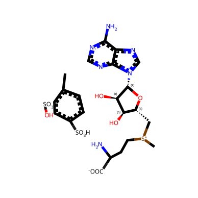 C[S+](CCC(N)C(=O)[O-])C[C@H]1O[C@@H](n2cnc3c(N)ncnc32)[C@H](O)[C@@H]1O.Cc1ccc(S(=O)(=O)O)cc1.O=S(=O)(O)O